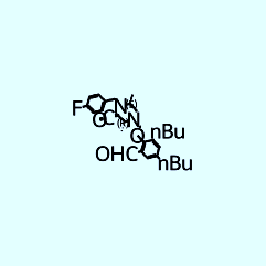 CCCCc1cc(C=O)c(OCN2C[C@H](C)N(Cc3ccc(F)cc3)C(=C=O)[C@H]2C)c(CCCC)c1